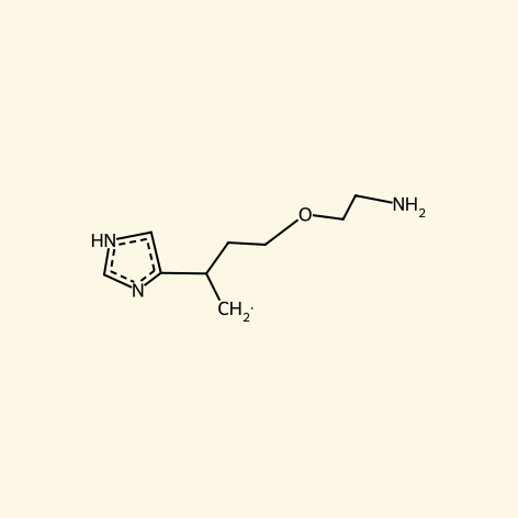 [CH2]C(CCOCCN)c1c[nH]cn1